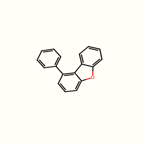 [c]1ccc(-c2cccc3oc4ccccc4c23)cc1